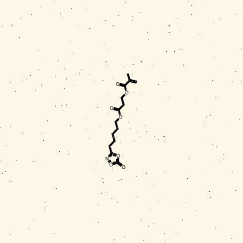 C=C(C)C(=O)OCCC(=O)OCCCCCc1noc(=O)o1